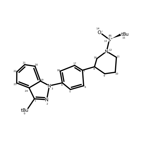 CC(C)(C)c1nn(-c2ccc(C3CCCN([S@@+]([O-])C(C)(C)C)C3)cc2)c2ccccc12